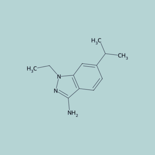 CCn1nc(N)c2ccc(C(C)C)cc21